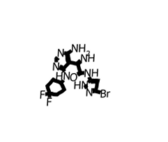 N=C(C(=O)Nc1cc(Br)n[nH]1)c1c(N)ncnc1NC1CCC(F)(F)CC1